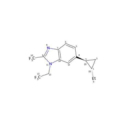 CC[C@H]1C[C@@H]1c1ccc2nc(C(F)(F)F)n(CC(F)(F)F)c2c1